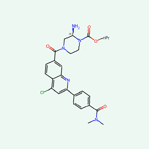 CCCOC(=O)N1CCN(C(=O)c2ccc3c(Cl)cc(-c4ccc(C(=O)N(C)C)cc4)nc3c2)C[C@H]1N